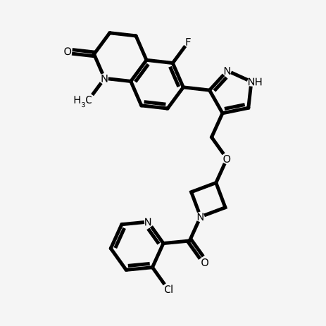 CN1C(=O)CCc2c1ccc(-c1n[nH]cc1COC1CN(C(=O)c3ncccc3Cl)C1)c2F